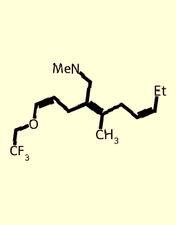 CC/C=C\C/C(C)=C(/C/C=C\OCC(F)(F)F)CNC